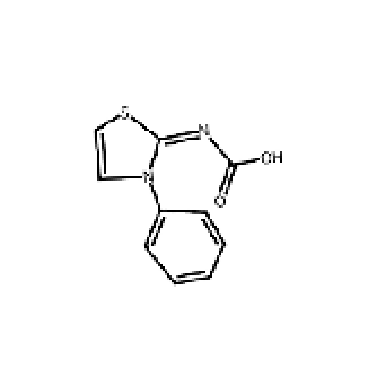 O=C(O)/N=c1/sccn1-c1ccccc1